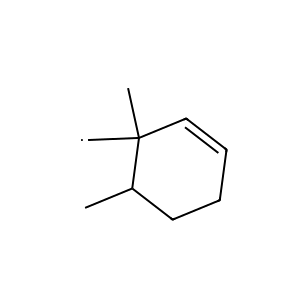 [CH2]C1(C)C=CCCC1C